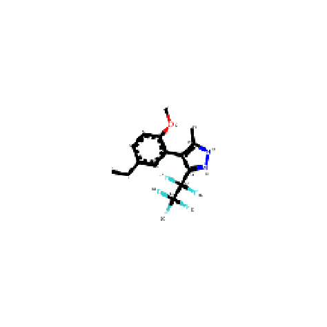 CCc1ccc(OC)c(C2=C(C)[N]N=C2C(F)(F)C(F)(F)F)c1